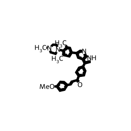 COc1ccc(/C=C/C(=O)c2ccc(-c3c[nH]c4ncc(-c5cc(C)c(N6CCN(C)CC6)c(C)c5)cc34)cc2)cc1